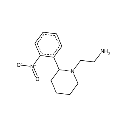 NCCN1CCCCC1c1ccccc1[N+](=O)[O-]